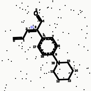 C=C/C=C(/C=O)c1ccc(N2CCCCC2)cc1